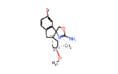 CO[C@H]1CC[C@@]2(Cc3ccc(Br)cc3C23COC(N)=N3)C[C@@H]1C